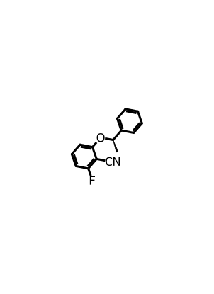 C[C@@H](Oc1cccc(F)c1C#N)c1ccccc1